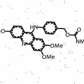 CNC(=O)OCc1ccc(Nc2c3ccc(OC)cc3nc3cc(OC)c(OC)cc23)cc1